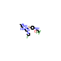 Cc1cc(Nc2cc(N3CCC(F)C3)nc(Sc3ccc(NC(=O)CC(F)(F)F)cc3)n2)[nH]n1